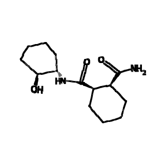 NC(=O)[C@H]1CCCC[C@H]1C(=O)N[C@H]1CCCC[C@@H]1O